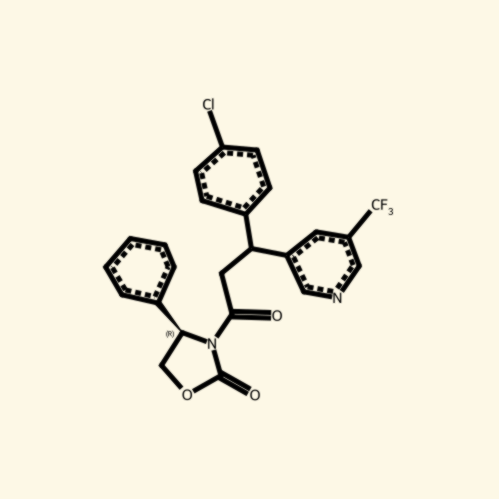 O=C(CC(c1ccc(Cl)cc1)c1cncc(C(F)(F)F)c1)N1C(=O)OC[C@H]1c1ccccc1